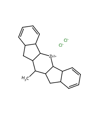 CC1C2CC3C=CC=CC3[CH]2[Zr+2][CH]2C3C=CC=CC3CC12.[Cl-].[Cl-]